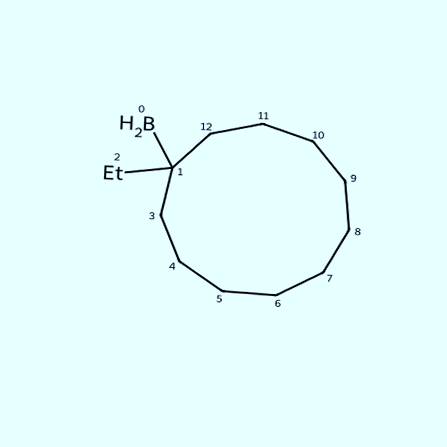 BC1(CC)CCCCCCCCCC1